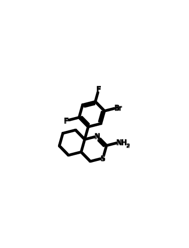 NC1=NC2(c3cc(Br)c(F)cc3F)CCCCC2CS1